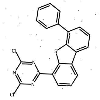 Clc1nc(Cl)nc(-c2cccc3c2sc2c(-c4ccccc4)cccc23)n1